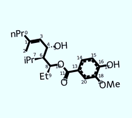 CCC/C(C)=C/[C@H](O)[C@H](C(C)C)[C@H](CC)OC(=O)c1ccc(O)c(OC)c1